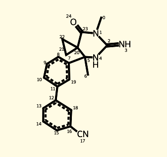 CN1C(=N)NC(C)(c2cccc(-c3cccc(C#N)c3)c2)C2(CC2)C1=O